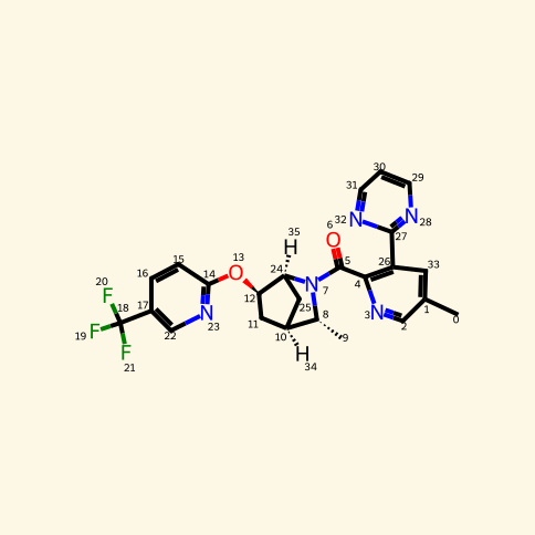 Cc1cnc(C(=O)N2[C@H](C)[C@H]3C[C@@H](Oc4ccc(C(F)(F)F)cn4)[C@@H]2C3)c(-c2ncccn2)c1